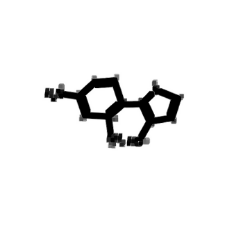 Nc1ccc(-c2sccc2O)c(N)c1